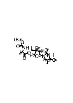 Cc1cn(C2O[C@H](COC(=O)C(C)NC(=O)OC(C)(C)C)C(C)(O)[C@@]2(C)F)c(=O)[nH]c1=O